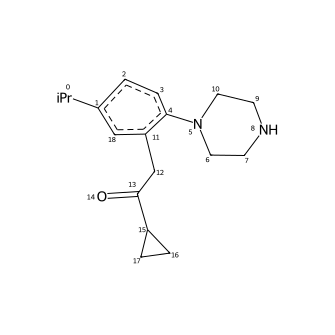 CC(C)c1ccc(N2CCNCC2)c(CC(=O)C2CC2)c1